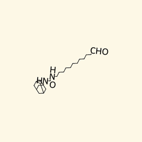 O=CCCCCCCCCCCCNC(=O)NC12CC3CC(CC(C3)C1)C2